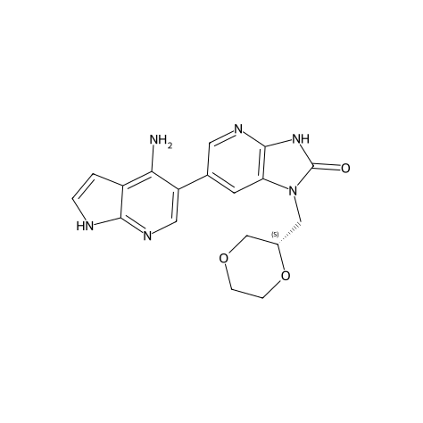 Nc1c(-c2cnc3[nH]c(=O)n(C[C@H]4COCCO4)c3c2)cnc2[nH]ccc12